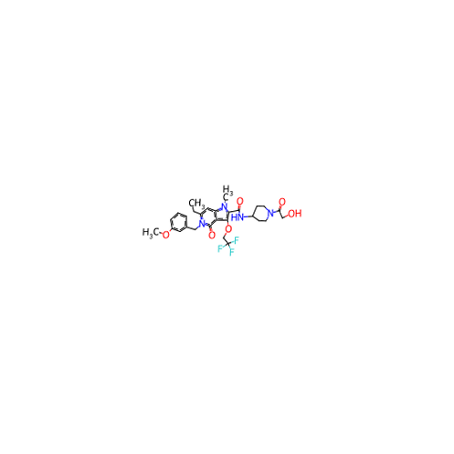 CCc1cc2c(c(OCC(F)(F)F)c(C(=O)NC3CCN(C(=O)CO)CC3)n2C)c(=O)n1Cc1cccc(OC)c1